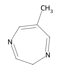 CC1=CN=CCN=C1